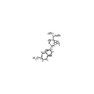 C/C=C(\C=N/C(C)C(CCC)CCC)c1cnc2ccc(C)cc2n1